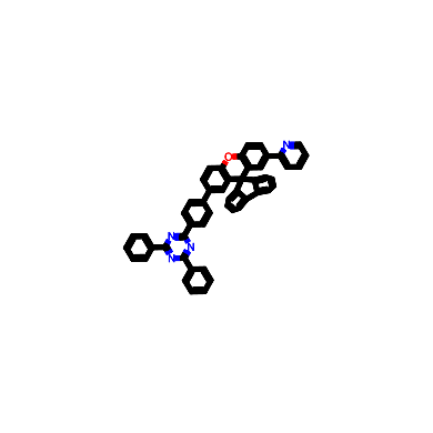 c1ccc(-c2nc(-c3ccccc3)nc(-c3ccc(-c4ccc5c(c4)C4(c6cc(-c7ccccn7)ccc6O5)c5ccccc5-c5ccccc54)cc3)n2)cc1